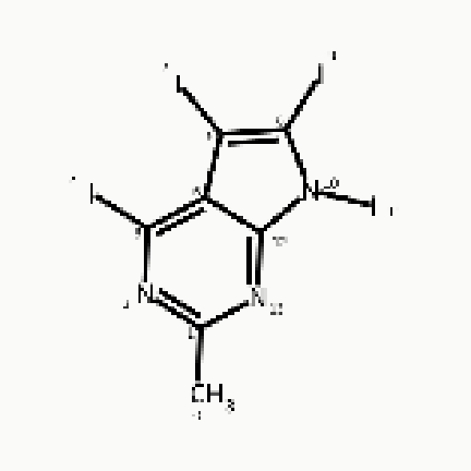 Cc1nc(I)c2c(I)c(I)n(I)c2n1